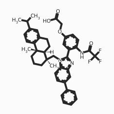 CC(C)c1ccc2c(c1)CC[C@H]1[C@@](C)(Cn3c(-c4cc(OCC(=O)O)ccc4NC(=O)C(F)(F)F)nc4cc(-c5ccccc5)ccc43)CCC[C@]21C